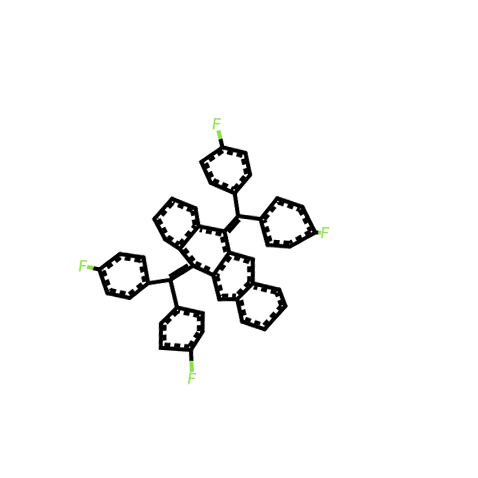 Fc1ccc(C(c2ccc(F)cc2)=c2c3ccccc3c(=C(c3ccc(F)cc3)c3ccc(F)cc3)c3cc4ccccc4cc23)cc1